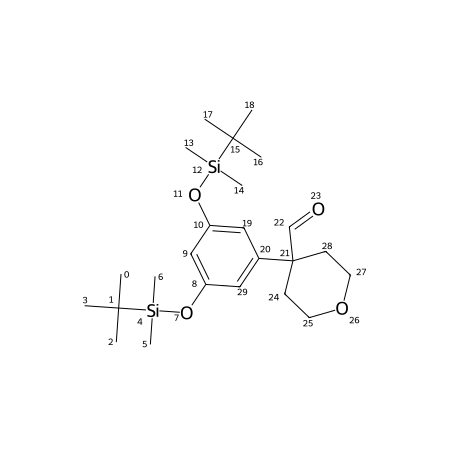 CC(C)(C)[Si](C)(C)Oc1cc(O[Si](C)(C)C(C)(C)C)cc(C2(C=O)CCOCC2)c1